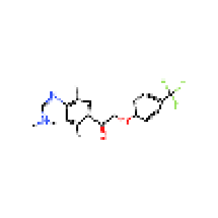 Cc1cc(C(=O)COc2ccc(C(F)(F)F)cc2)c(C)cc1/N=C\N(C)C